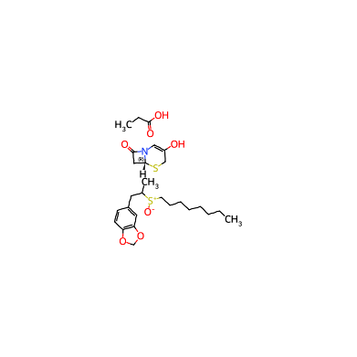 CCC(=O)O.CCCCCCCC[S+]([O-])C(C)Cc1ccc2c(c1)OCO2.O=C1C[C@H]2SCC(O)=CN12